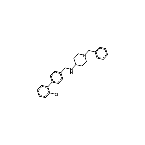 Clc1ccccc1-c1ccc(CNC2CCN(Cc3ccccc3)CC2)cc1